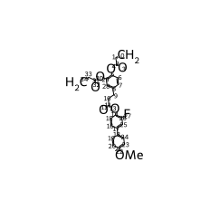 C=CC(=O)Oc1ccc(CCC(=O)Oc2ccc(-c3ccc(OC)cc3)cc2F)cc1OC(=O)C=C